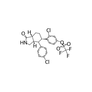 O=C1NC[C@H]2C(c3ccc(Cl)cc3)[C@H](c3ccc(OS(=O)(=O)C(F)(F)F)cc3Cl)CC[C@@H]12